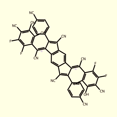 N#CC1=C(c2ccc(C#N)cc2)/C(=C(/C#N)c2c(O)c(O)c(C#N)c(F)c2F)c2cc3c(cc21)/C(=C(\C#N)c1c(F)c(O)c(C#N)c(F)c1F)C(c1ccc(C#N)cc1)=C3C#N